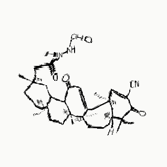 CC1(C)C(=O)C(C#N)=C[C@]2(C)C3=CC(=O)C4C5C[C@@](C)(CC(=O)NNC=O)CC[C@]5(C)CC[C@@]4(C)[C@]3(C)CC[C@@H]12